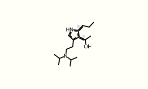 CC/C=c1/[nH]cc(CCN(C(C)C)C(C)C)/c1=C(/C)O